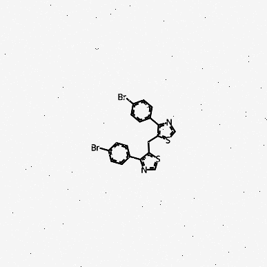 Brc1ccc(-c2ncsc2Cc2scnc2-c2ccc(Br)cc2)cc1